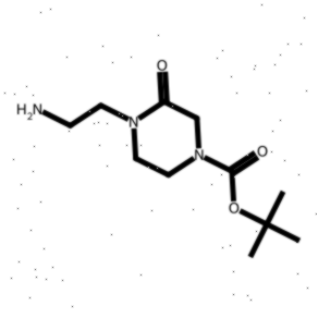 CC(C)(C)OC(=O)N1CCN(CCN)C(=O)C1